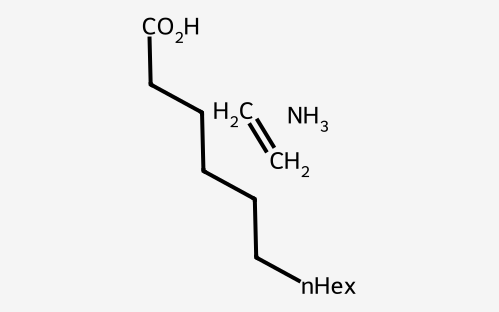 C=C.CCCCCCCCCCCC(=O)O.N